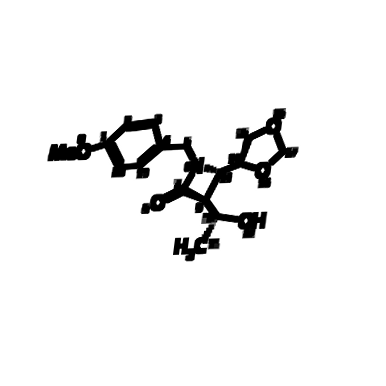 COc1ccc(CN2C(=O)[C@H]([C@@H](C)O)[C@H]2[C@H]2COCO2)cc1